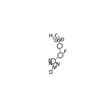 CCS(=O)(=O)c1ccc(-c2cc(-c3cnnc4c3ncn4C3=CC=C3)ccc2F)cc1